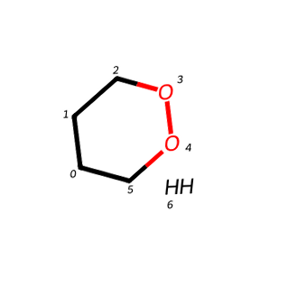 C1CCOOC1.[HH]